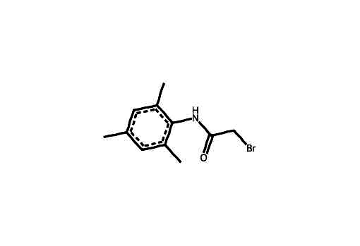 Cc1cc(C)c(NC(=O)CBr)c(C)c1